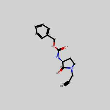 C#CCN1CC[C@H](NC(=O)OCc2ccccc2)C1=O